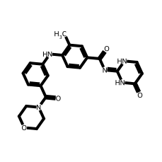 Cc1cc(C(=O)/N=c2\[nH]ccc(=O)[nH]2)ccc1Nc1cccc(C(=O)N2CCOCC2)c1